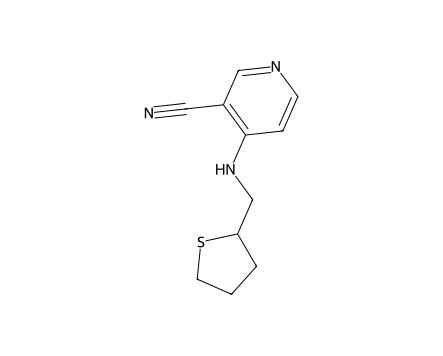 N#Cc1cnccc1NCC1CCCS1